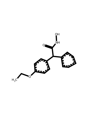 CCOc1ccc(C(C(=O)NO)c2ccccc2)cc1